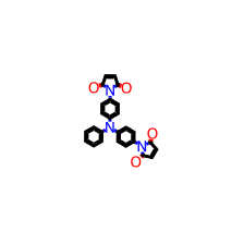 O=C1C=CC(=O)N1c1ccc(N(c2ccccc2)c2ccc(N3C(=O)C=CC3=O)cc2)cc1